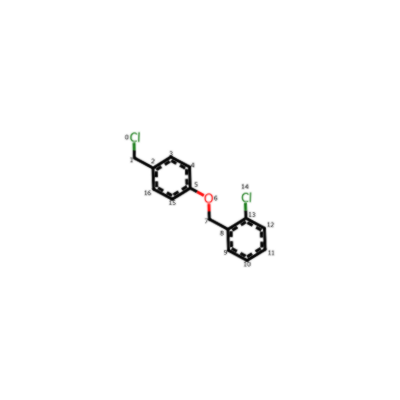 ClCc1ccc(OCc2ccccc2Cl)cc1